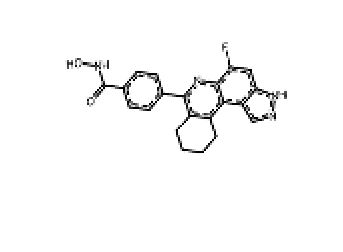 O=C(NO)c1ccc(-c2nc3c(F)cc4[nH]ncc4c3c3c2CCCC3)cc1